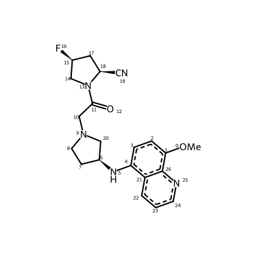 COc1ccc(N[C@H]2CCN(CC(=O)N3C[C@@H](F)C[C@H]3C#N)C2)c2cccnc12